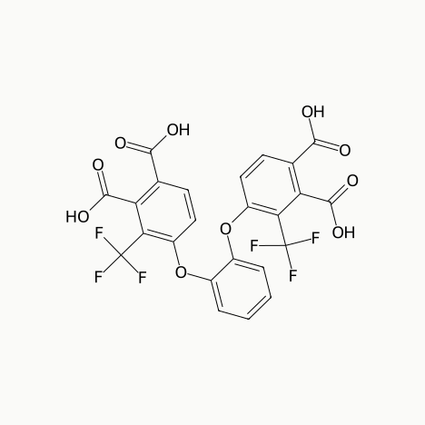 O=C(O)c1ccc(Oc2ccccc2Oc2ccc(C(=O)O)c(C(=O)O)c2C(F)(F)F)c(C(F)(F)F)c1C(=O)O